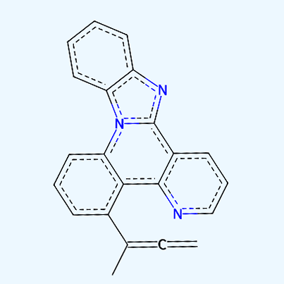 C=C=C(C)c1cccc2c1c1ncccc1c1nc3ccccc3n21